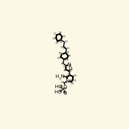 Nc1c(-c2cc(Cc3ccc(/C=C/Cc4ccccc4)cc3)no2)ccc[n+]1COP(=O)(O)O